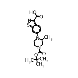 CC1CN(C(=O)OC(C)(C)C)CCN1c1ccc2c(C(=O)O)nsc2c1